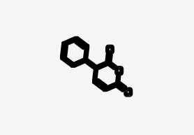 O=C1C=CC(C2C=CC=CC2)C(=O)O1